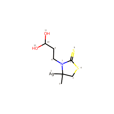 C[C]1([Ag])CSC(=S)N1CCC(O)O